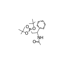 CC(=O)NC(CP(=O)(OC(C)(C)C)OC(C)(C)C)c1ccccc1